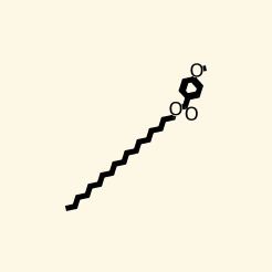 CCCCCCCCCCCCCCCCCCOC(=O)c1ccc(OC)cc1